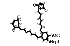 CCCCCCCCC1=C(CCCCCCC)CC(CCCCCCCC2CC(=O)C=CC2=O)C(CCCCCCCN2C(=O)C=CC2=O)C1